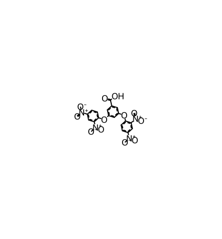 O=C(O)c1cc(Oc2ccc([N+](=O)[O-])cc2[N+](=O)[O-])cc(Oc2ccc([N+](=O)[O-])cc2[N+](=O)[O-])c1